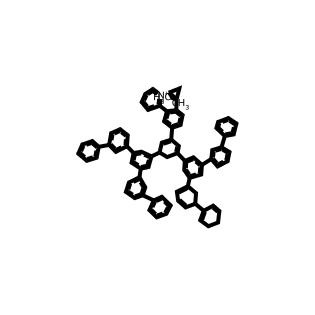 CC12CC1(C)[n+]1ccccc1-c1cc(C3=CC(c4cc(-c5cccc(-c6ccccc6)c5)cc(-c5cccc(-c6ccccc6)c5)c4)CC(c4cc(C5=CC=CC(C6=CCCC=C6)C5)cc(-c5cccc(-c6ccccc6)c5)c4)=C3)ccc12